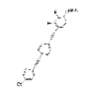 CCCCCCCc1ccc(C#Cc2ccc(C#Cc3ccc(CC)cc3)cc2)c(F)c1F